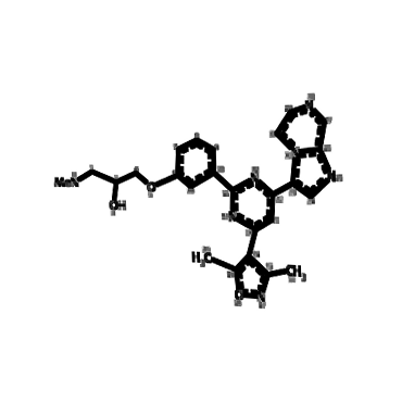 CNCC(O)COc1cccc(-c2nc(-c3c(C)noc3C)cc(-c3cnc4cnccn34)n2)c1